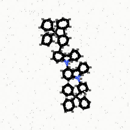 c1ccc([Si](c2ccccc2)(c2ccccc2)c2cccc(-n3c4ccccc4c4c(-n5c6ccccc6c6c(-c7ccc8c(c7)[Si](c7ccccc7)(c7ccccc7)c7ccccc7-8)cccc65)cccc43)c2)cc1